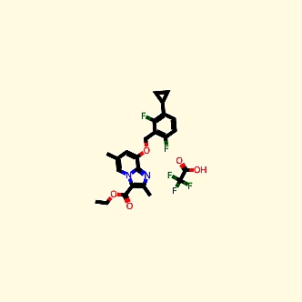 CCOC(=O)c1c(C)nc2c(OCc3c(F)ccc(C4CC4)c3F)cc(C)cn12.O=C(O)C(F)(F)F